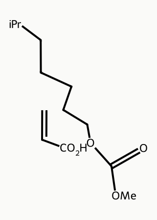 C=CC(=O)O.COC(=O)OCCCCCC(C)C